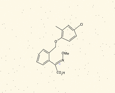 CO/N=C(/C(=O)O)c1ccccc1COc1ccc(Cl)cc1C